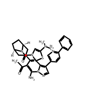 CC(=O)c1c(C2C[C@H]3CC[C@@H](C2)N3C(=O)N2C=C(N(C)C)SC2)nc2c(-c3ccc(-c4ccccc4)nc3)cnn2c1N